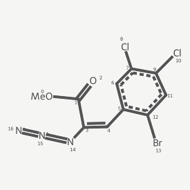 COC(=O)/C(=C\c1cc(Cl)c(Cl)cc1Br)N=[N+]=[N-]